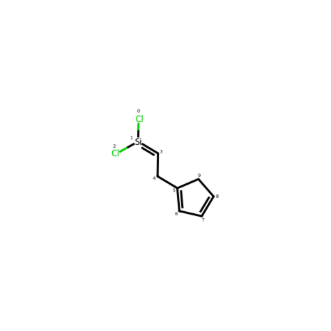 Cl[Si](Cl)=CCC1=CC=CC1